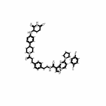 O=C1CCC(Nc2ccc(C3CCN(C(=O)CCc4ccc(CCNC(=O)c5cnn6ccc(N7CCC[C@@H]7c7cc(F)ccc7F)nc56)cc4)CC3)cc2)C(=O)N1